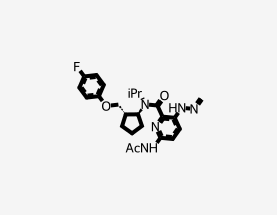 C=NNc1ccc(NC(C)=O)nc1C(=O)N(C(C)C)[C@H]1CCC[C@@H]1COc1ccc(F)cc1